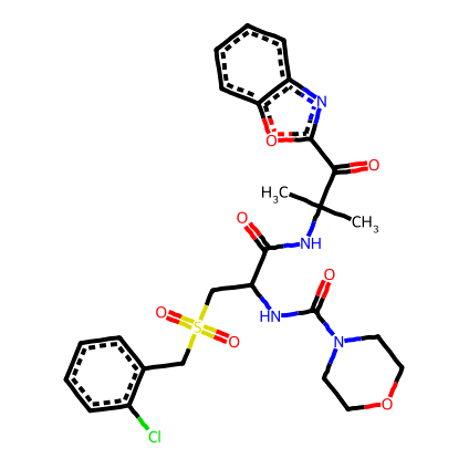 CC(C)(NC(=O)C(CS(=O)(=O)Cc1ccccc1Cl)NC(=O)N1CCOCC1)C(=O)c1nc2ccccc2o1